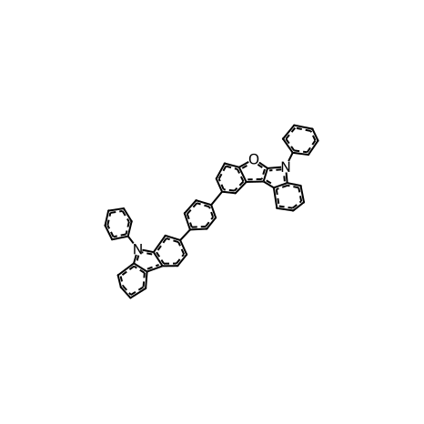 c1ccc(-n2c3ccccc3c3ccc(-c4ccc(-c5ccc6oc7c(c6c5)c5ccccc5n7-c5ccccc5)cc4)cc32)cc1